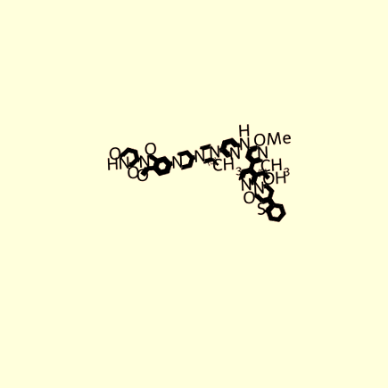 COc1ncc(-c2ccnc(N3CCc4c(sc5c4CCCC5)C3=O)c2[C@@H](C)O)cc1Nc1ccc(N2CCN(C3CCN(c4ccc5c(c4)C(=O)N(C4CCC(=O)NC4=O)C5=O)CC3)C[C@@H]2C)cn1